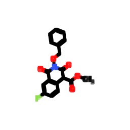 COC(=O)C1C(=O)N(OCc2ccccc2)C(=O)c2cc(F)ccc21